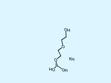 OCCOCCOB(O)O.[KH]